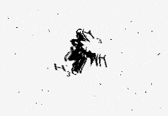 Cn1cc(-c2cccc(-c3ncc(-c4cnn(C)c4)c(N4CC5CNCC5C4)n3)c2)cn1